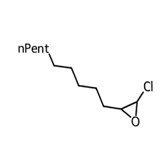 CCCCCCCCCCC1OC1Cl